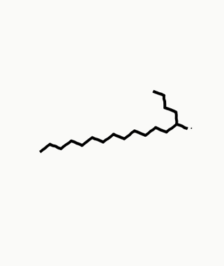 [CH2]C(CCCC)CCCCCCCCCCCCC